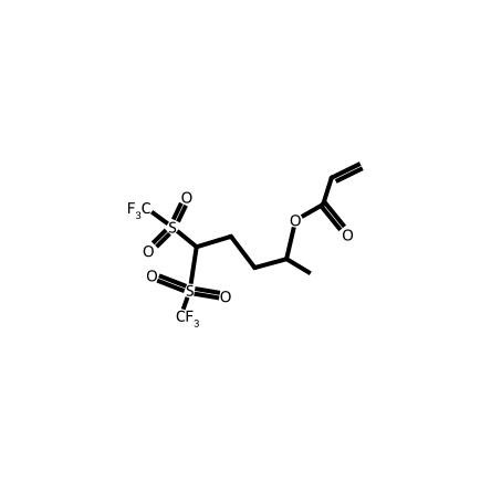 C=CC(=O)OC(C)CCC(S(=O)(=O)C(F)(F)F)S(=O)(=O)C(F)(F)F